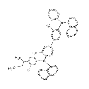 CCC(C)c1ccc(N(c2ccc(-c3ccc(N(c4ccccc4)c4cccc5ccccc45)c(C)c3)cc2C)c2cccc3ccccc23)cc1C